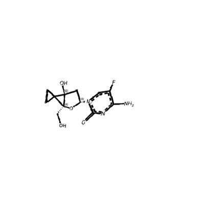 Nc1nc(=O)n([C@H]2C[C@@]3(O)C4(CC4)[C@]3(CO)O2)cc1F